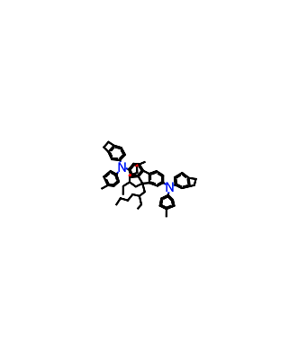 CCCCC(CC)CC1(CC(CC)CCCC)c2cc(N(c3ccc(C)cc3)c3ccc4c(c3)CC4)ccc2-c2ccc(N(c3ccc(C)cc3)c3ccc4c(c3)CC4)cc21